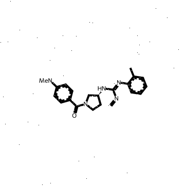 C=N/C(=N\c1ccccc1C)N[C@@H]1CCN(C(=O)c2ccc(NC)cc2)C1